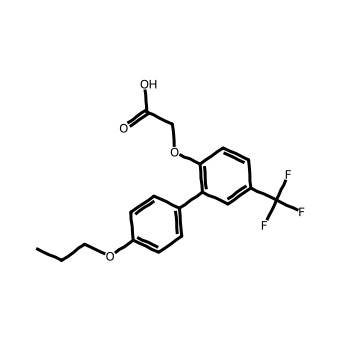 CCCOc1ccc(-c2cc(C(F)(F)F)ccc2OCC(=O)O)cc1